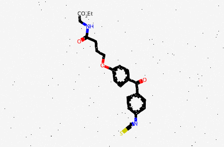 CCOC(=O)CNC(=O)CCCOc1ccc(C(=O)c2ccc(N=C=S)cc2)cc1